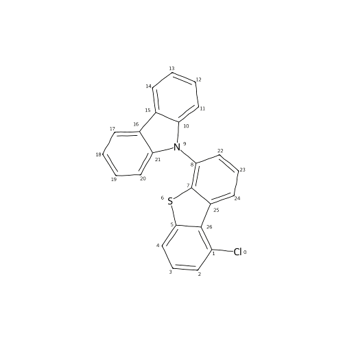 Clc1cccc2sc3c(-n4c5ccccc5c5ccccc54)cccc3c12